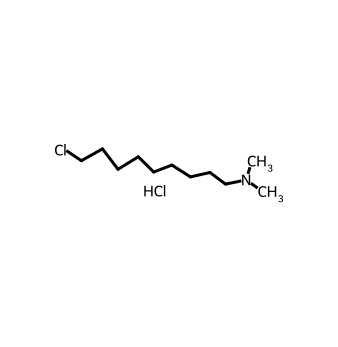 CN(C)CCCCCCCCCCl.Cl